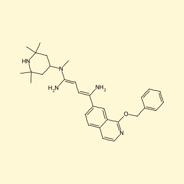 CN(/C(N)=C/C=C(\N)c1ccc2ccnc(OCc3ccccc3)c2c1)C1CC(C)(C)NC(C)(C)C1